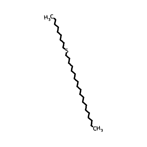 CCCCCCCCCCCCCCCCCCCCSCCCCCCCCC